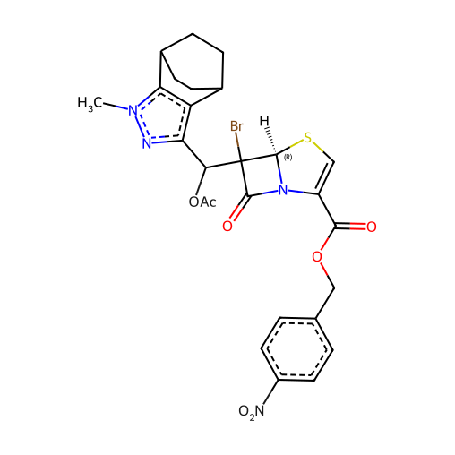 CC(=O)OC(c1nn(C)c2c1C1CCC2CC1)C1(Br)C(=O)N2C(C(=O)OCc3ccc([N+](=O)[O-])cc3)=CS[C@@H]21